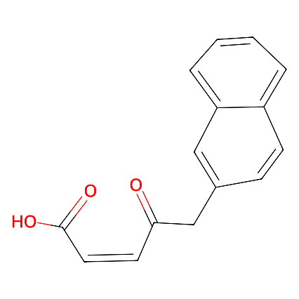 O=C(O)/C=C\C(=O)Cc1ccc2ccccc2c1